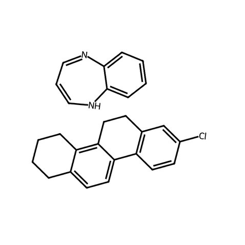 C1=CNc2ccccc2N=C1.Clc1ccc2c(c1)CCc1c-2ccc2c1CCCC2